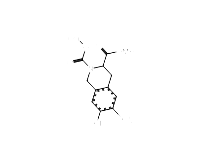 COC(=O)C1Cc2cc([N+](=O)[O-])c(O)cc2CN1C(=O)OC(C)(C)C